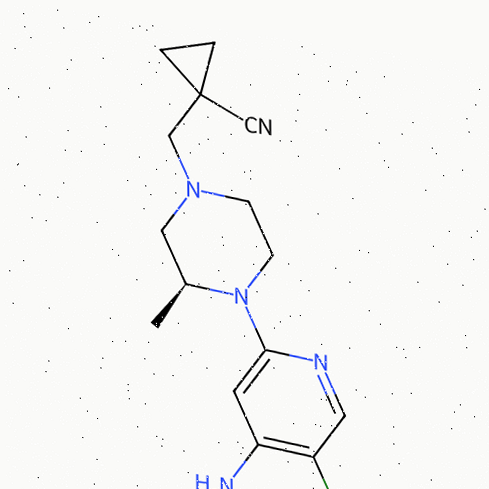 C[C@H]1CN(CC2(C#N)CC2)CCN1c1cc(N)c(Cl)cn1